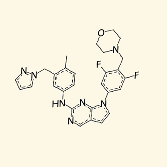 Cc1ccc(Nc2ncc3ccn(-c4cc(F)c(CN5CCOCC5)c(F)c4)c3n2)cc1Cn1cccn1